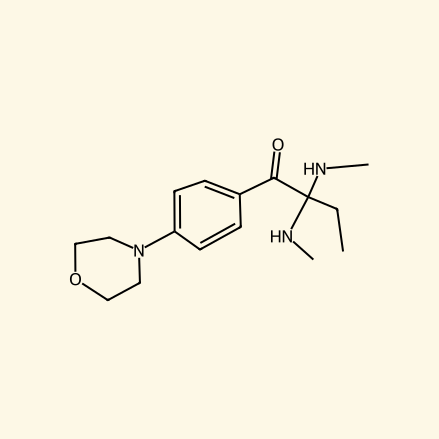 CCC(NC)(NC)C(=O)c1ccc(N2CCOCC2)cc1